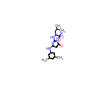 Cc1cc(C)cc(Nc2cc(=O)[nH]c(NC(CC(C)C)C(N)=O)n2)c1